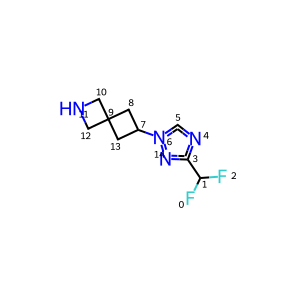 FC(F)c1ncn(C2CC3(CNC3)C2)n1